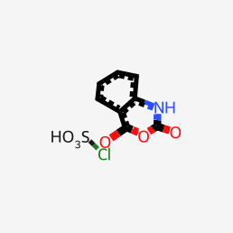 O=S(=O)(O)Cl.O=c1[nH]c2ccccc2c(=O)o1